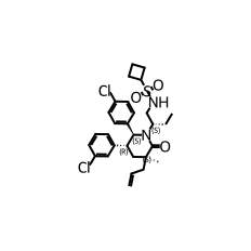 C=CC[C@@]1(C)C[C@H](c2cccc(Cl)c2)[C@@H](c2ccc(Cl)cc2)N([C@@H](CC)CNS(=O)(=O)C2CCC2)C1=O